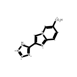 O=C(O)c1ccc2nc(-c3nnn[nH]3)cn2c1